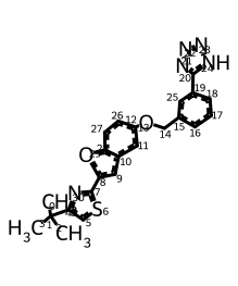 CC(C)(C)c1csc(-c2cc3cc(OCc4cccc(-c5nnn[nH]5)c4)ccc3o2)n1